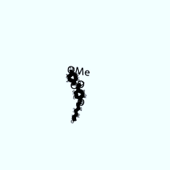 C=CCCCCOc1ccc(C(=O)Oc2ccc(OC)cc2)cc1